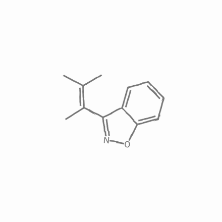 CC(C)=C(C)c1noc2ccccc12